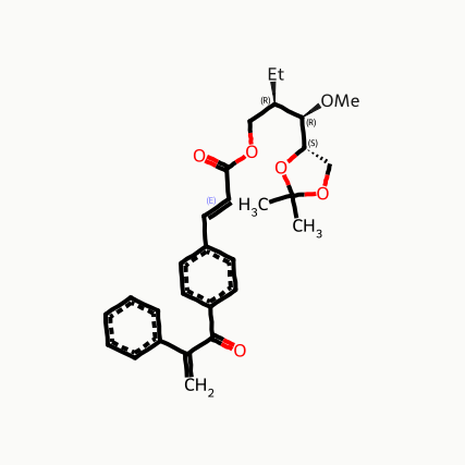 C=C(C(=O)c1ccc(/C=C/C(=O)OC[C@@H](CC)[C@@H](OC)[C@@H]2COC(C)(C)O2)cc1)c1ccccc1